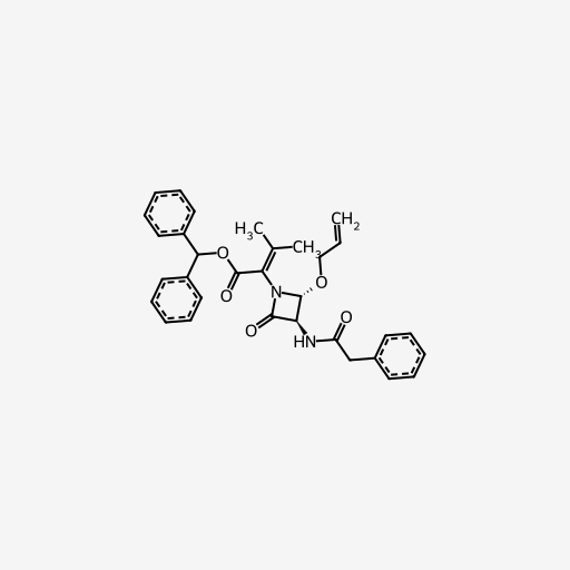 C=CCO[C@@H]1[C@@H](NC(=O)Cc2ccccc2)C(=O)N1C(C(=O)OC(c1ccccc1)c1ccccc1)=C(C)C